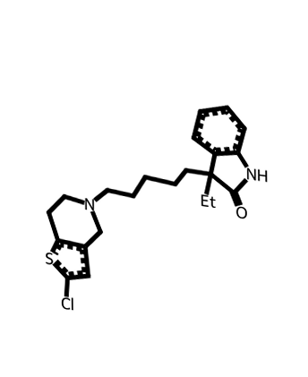 CCC1(CCCCCN2CCc3sc(Cl)cc3C2)C(=O)Nc2ccccc21